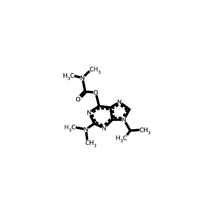 CC(C)n1cnc2c(OC(=O)N(C)C)nc(N(C)C)nc21